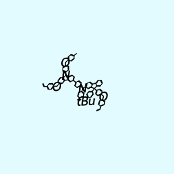 C=Cc1ccc(Oc2ccc(C3(c4ccccc4)c4ccccc4-c4ccc(N(c5ccc(-c6ccc7c(c6)c6cc(Oc8ccc(C=C)cc8)ccc6n7-c6ccc(Oc7ccc(C)cc7)cc6)cc5)c5ccc(C(C)(C)C)cc5)cc43)cc2)cc1